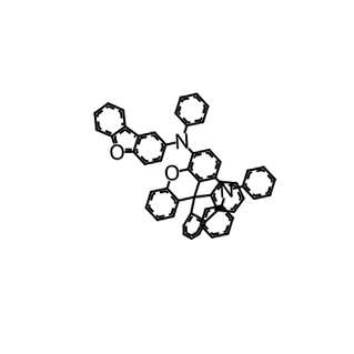 c1ccc(N(c2ccc3oc4ccccc4c3c2)c2ccc(N(c3ccccc3)c3ccccc3)c3c2Oc2ccccc2C32c3ccccc3-c3ccccc32)cc1